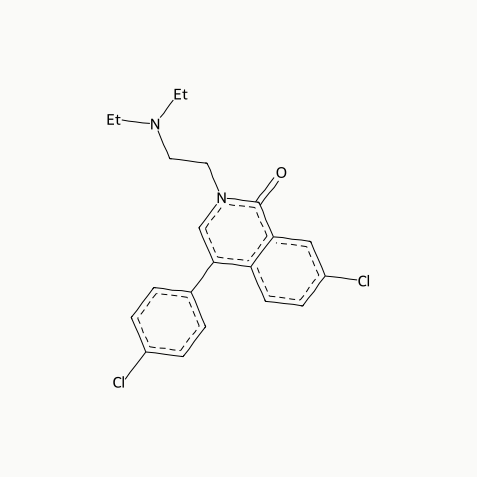 CCN(CC)CCn1cc(-c2ccc(Cl)cc2)c2ccc(Cl)cc2c1=O